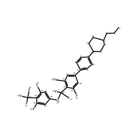 CCCC1CCC(c2ccc(-c3cc(F)c(C(F)(F)Oc4cc(F)c(C(F)(F)F)c(F)c4)c(F)c3)cc2)CC1